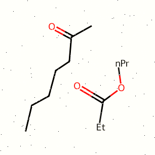 CCCCCC(C)=O.CCCOC(=O)CC